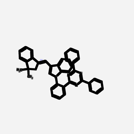 CC1(C)C/C(=C\c2cn(-c3ccccc3-c3nc(-c4ccccc4)nc(-c4ccccc4)n3)c3ccccc23)c2ccccc21